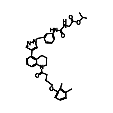 Cc1cccc(OCCCC(=O)N2CCCc3c(-c4cnn(Cc5cccc(NC(=O)NCC(=O)OC(C)C)c5)c4)cccc32)c1C